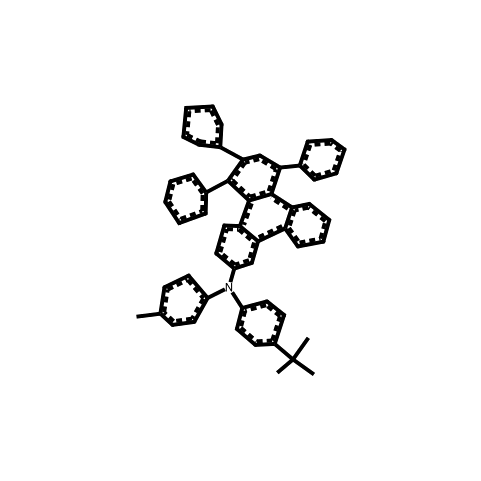 Cc1ccc(N(c2ccc(C(C)(C)C)cc2)c2ccc3c(c2)c2ccccc2c2c(-c4ccccc4)cc(-c4ccccc4)c(-c4ccccc4)c32)cc1